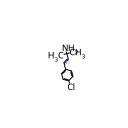 CC(C)(N)/C=C/c1ccc(Cl)cc1